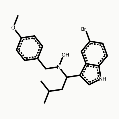 COc1ccc(CN(O)C(CC(C)C)c2c[nH]c3ccc(Br)cc23)cc1